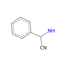 N#CC([NH])c1ccccc1